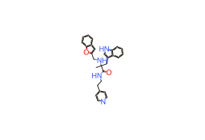 CC(Cc1c[nH]c2ccccc12)(NCc1cc2ccccc2o1)C(=O)NCCc1ccncc1